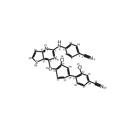 N#Cc1ccc(Nc2nc(Oc3ccc(-c4ccc(C#N)cc4Cl)cc3Cl)c3sccc3n2)cc1